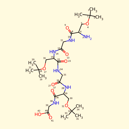 CC(C)(C)OCC(N)C(=O)NCC(=O)NC(COC(C)(C)C)C(=O)NCC(=O)NC(COC(C)(C)C)C(=O)NCC(=O)O